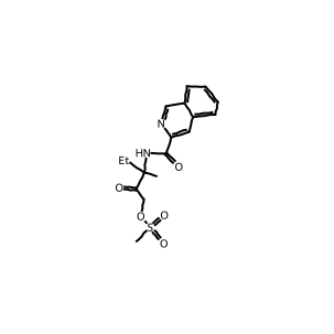 CCC(C)(NC(=O)c1cc2ccccc2cn1)C(=O)COS(C)(=O)=O